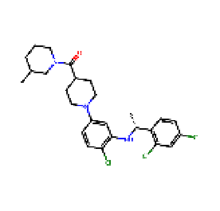 CC1CCCN(C(=O)C2CCN(c3ccc(Cl)c(N[C@H](C)c4ccc(Cl)cc4Cl)c3)CC2)C1